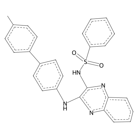 Cc1ccc(-c2ccc(Nc3nc4ccccc4nc3NS(=O)(=O)c3ccccc3)cc2)cc1